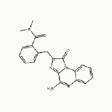 CN(C)C(=O)c1ccccc1Cn1nc2c(N)nc3ccccc3n2c1=O